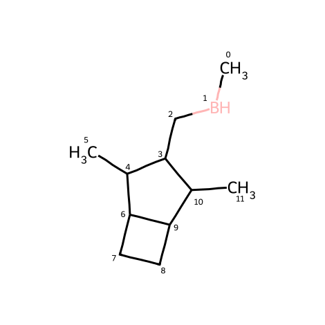 CBCC1C(C)C2CCC2C1C